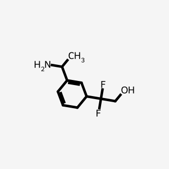 CC(N)C1=CC(C(F)(F)CO)CC=C1